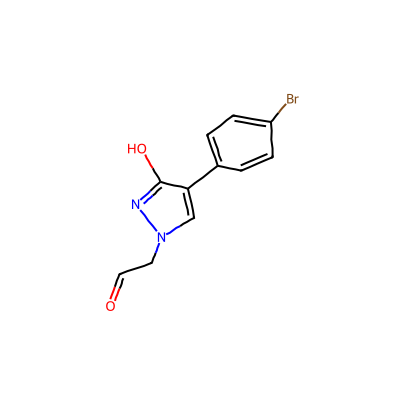 O=CCn1cc(-c2ccc(Br)cc2)c(O)n1